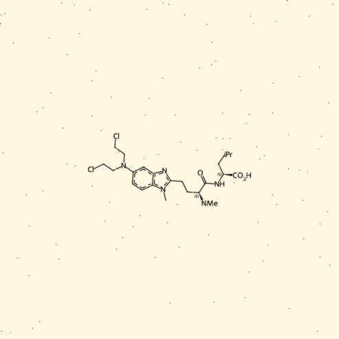 CN[C@@H](CCc1nc2cc(N(CCCl)CCCl)ccc2n1C)C(=O)N[C@@H](CC(C)C)C(=O)O